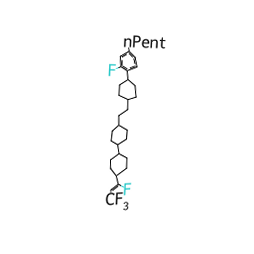 CCCCCc1ccc(C2CCC(CCC3CCC(C4CCC(/C(F)=C/C(F)(F)F)CC4)CC3)CC2)c(F)c1